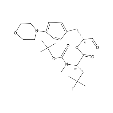 CN(C(=O)OC(C)(C)C)[C@@H](CC(C)(C)F)C(=O)O[C@@H](C=O)Cc1ccc(N2CCOCC2)cc1